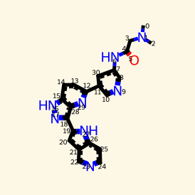 CN(C)CC(=O)Nc1cncc(-c2ccc3[nH]nc(-c4cc5cnccc5[nH]4)c3n2)c1